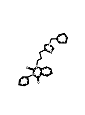 O=c1c2ccccc2n(CCCc2cn(Cc3ccccc3)cn2)c(=O)n1-c1ccccc1